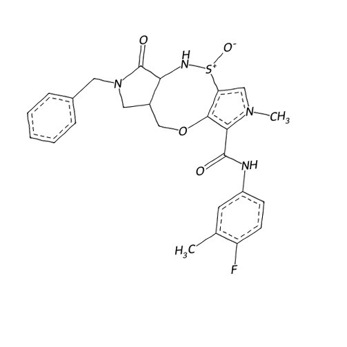 Cc1cc(NC(=O)c2c3c(cn2C)[S+]([O-])NC2C(=O)N(Cc4ccccc4)CC2CO3)ccc1F